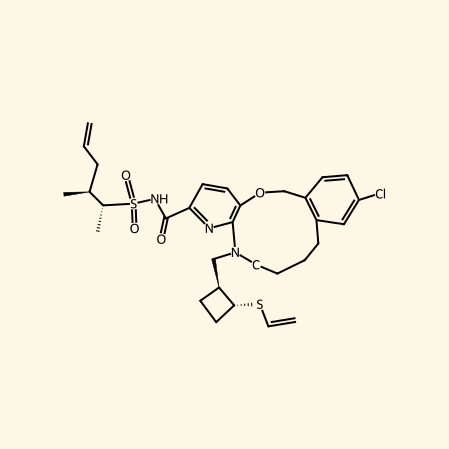 C=CC[C@H](C)[C@@H](C)S(=O)(=O)NC(=O)c1ccc2c(n1)N(C[C@@H]1CC[C@H]1SC=C)CCCCc1cc(Cl)ccc1CO2